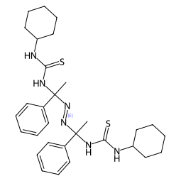 CC(/N=N/C(C)(NC(=S)NC1CCCCC1)c1ccccc1)(NC(=S)NC1CCCCC1)c1ccccc1